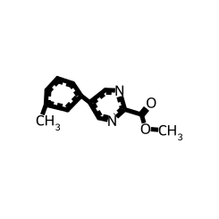 COC(=O)c1ncc(-c2cccc(C)c2)cn1